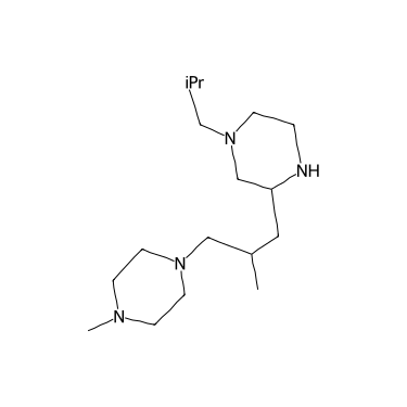 CC(C)CN1CCNC(CC(C)CN2CCN(C)CC2)C1